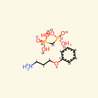 NCCCOc1ccccc1.O=P(O)(O)CP(=O)(O)O